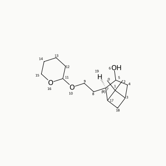 CC1(C)C2CC(O)[C@H](CCOC3CCCCO3)C1C2